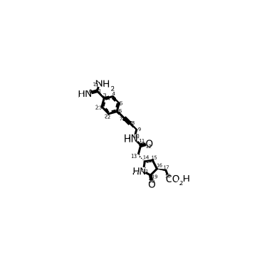 N=C(N)c1ccc(C#CCNC(=O)C[C@@H]2C[C@@H](CC(=O)O)C(=O)N2)cc1